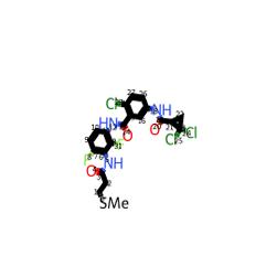 CSCCC(=O)Nc1c(F)ccc(NC(=O)c2cc(NC(=O)C3CC3(Cl)Cl)ccc2Cl)c1F